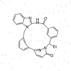 CCC1c2cccc(c2)C(=O)Nc2nc3ccccc3n2Cc2cccc(c2)-c2ccc(=O)n1n2